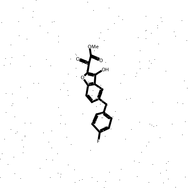 COC(=O)C(=O)c1oc2ccc(Cc3ccc(F)cc3)cc2c1O